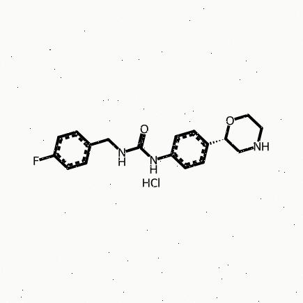 Cl.O=C(NCc1ccc(F)cc1)Nc1ccc([C@H]2CNCCO2)cc1